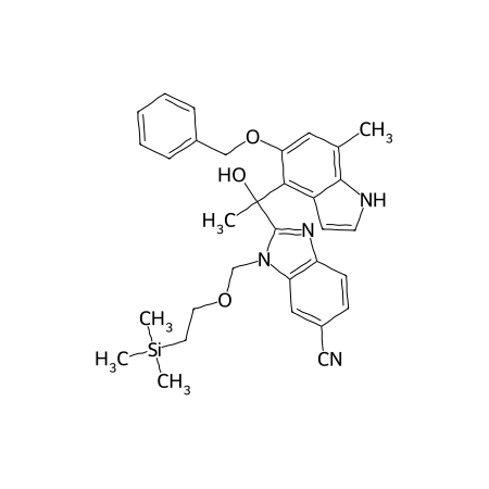 Cc1cc(OCc2ccccc2)c(C(C)(O)c2nc3ccc(C#N)cc3n2COCC[Si](C)(C)C)c2cc[nH]c12